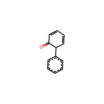 O=C1[C]=CC=CC1c1ccccc1